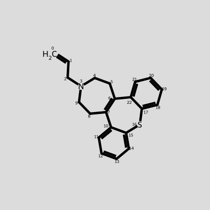 C=CCN1CCC2=C(CC1)c1ccccc1Sc1ccccc12